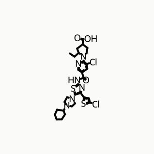 CCC1CC(C(=O)O)CCN1c1ncc(C(=O)Nc2nc(-c3cc(Cl)cs3)c(N3CCN(C4CCCCC4)CC3)s2)cc1Cl